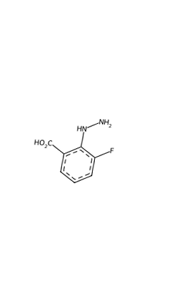 NNc1c(F)cccc1C(=O)O